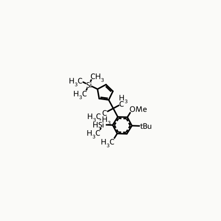 COc1c(C(C)(C)C)cc(C)c([SiH](C)C)c1C(C)(C)C1=CC([Si](C)(C)C)C=C1